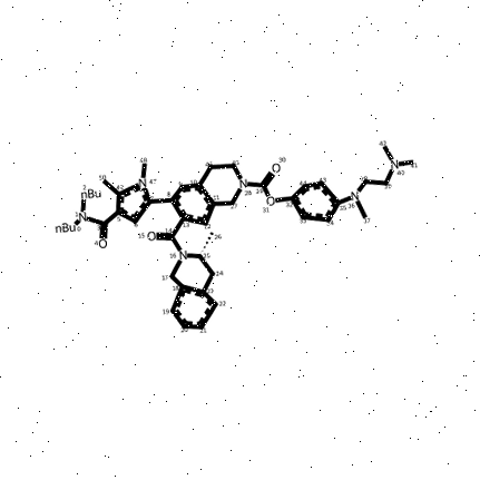 CCCCN(CCCC)C(=O)c1cc(-c2cc3c(cc2C(=O)N2Cc4ccccc4C[C@H]2C)CN(C(=O)Oc2ccc(N(C)CCN(C)C)cc2)CC3)n(C)c1C